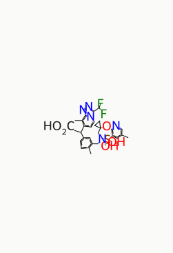 Cc1cnc2c(c1)S(O)(O)N(Cc1cc(C(CC(=O)O)c3ccn4c(C(F)F)nnc4c3C)ccc1C)CC1(CC1)O2